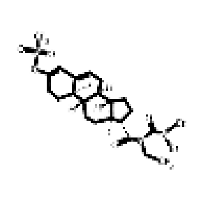 CCN(CC)C(=O)N(CC(F)(F)F)C(=O)[C@H]1CC[C@H]2[C@@H]3CC=C4C=C(OS(=O)(=O)C(F)(F)F)CC[C@]4(C)[C@H]3CC[C@]12C